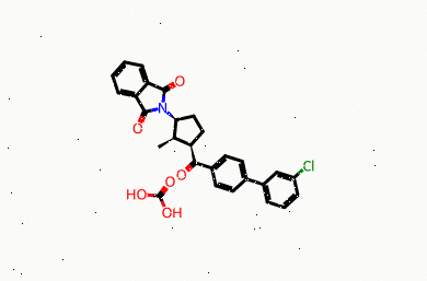 C[C@@H]1[C@H](C(=O)c2ccc(-c3cccc(Cl)c3)cc2)CC[C@@H]1N1C(=O)c2ccccc2C1=O.O=C(O)O